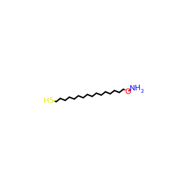 NOCCCCCCCCCCCCCCCCS